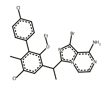 CCOc1c(C(C)c2nc(Br)c3c(N)nccn23)cc(Cl)c(C)c1-c1ccc(Cl)cc1